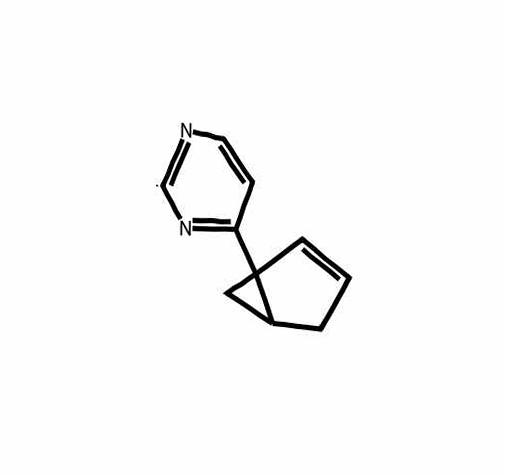 [c]1nccc(C23C=CCC2C3)n1